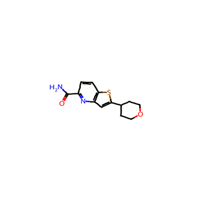 NC(=O)c1ccc2sc(C3CCOCC3)cc2n1